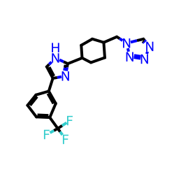 FC(F)(F)c1cccc(-c2c[nH]c(C3CCC(Cn4cnnn4)CC3)n2)c1